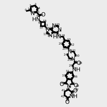 Cc1cccc(C(=O)NC2CC(n3cnc4c(NCc5ccc(N6CCN(C(=O)CNc7ccc8c(c7)C(=O)N([C@H]7CCC(=O)NC7=O)C8=O)CC6)cc5)ncnc43)C2)n1